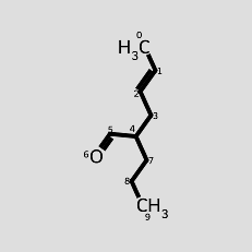 CC=CCC(C=O)CCC